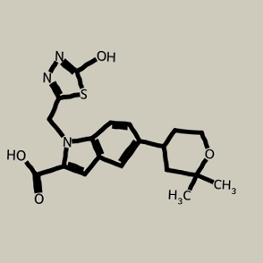 CC1(C)CC(c2ccc3c(c2)cc(C(=O)O)n3Cc2nnc(O)s2)CCO1